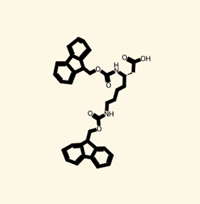 O=C(O)C[C@H](CCCCNC(=O)OCC1c2ccccc2-c2ccccc21)NC(=O)OCC1c2ccccc2-c2ccccc21